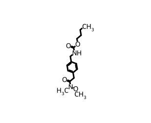 CCCCOC(=O)NCc1ccc(CC(=O)N(C)OC)cc1